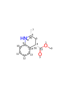 COC(=O)[C@H]1C[C@@H](C)Nc2ccccc21